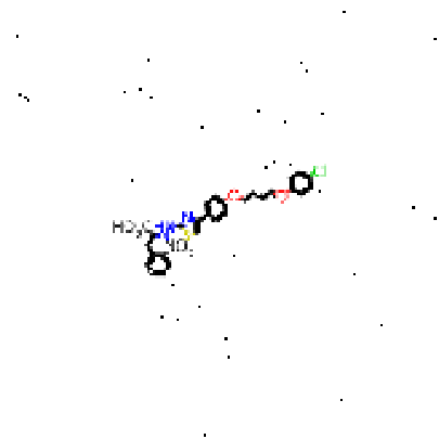 O=C(O)C(Cc1ccccc1[N+](=O)[O-])=NNc1nc(-c2ccc(OCCCCOc3ccc(Cl)cc3)cc2)cs1